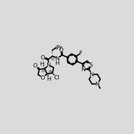 CC(C)C[C@H](NC(=O)c1ccc(-c2csc(N3CCN(C)CC3)n2)c(F)c1)C(=O)N1C[C@@H](Cl)[C@H]2OCC(=O)[C@H]21